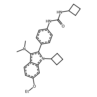 CCOc1ccc2c(N(C)C)c(-c3ccc(NC(=O)NC4CCC4)cc3)n(C3CCC3)c2c1